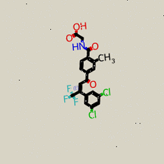 Cc1cc(C(=O)/C=C(\c2cc(Cl)cc(Cl)c2)C(F)(F)F)ccc1C(=O)NCC(=O)O